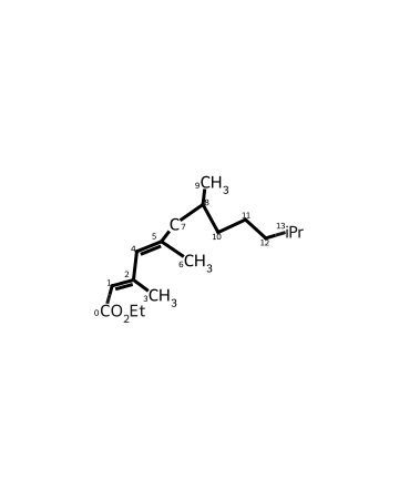 CCOC(=O)/C=C(C)/C=C(\C)CC(C)CCCC(C)C